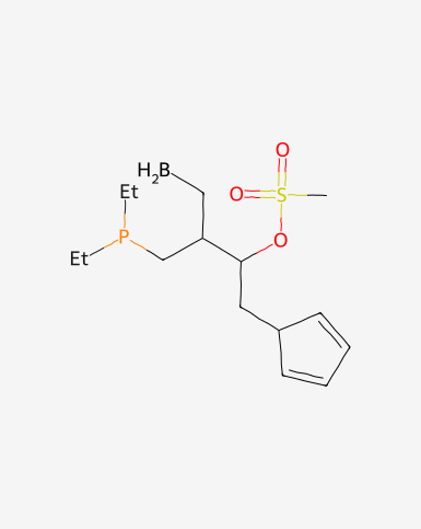 BCC(CP(CC)CC)C(CC1C=CC=C1)OS(C)(=O)=O